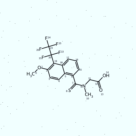 COc1ccc2c(C(=S)N(C)CC(=O)O)cccc2c1C(F)(F)C(F)(F)F